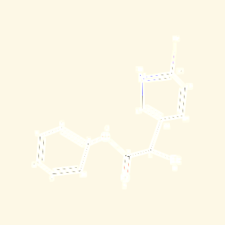 CCC(C(=O)Oc1ccccc1)c1ccc(I)nc1